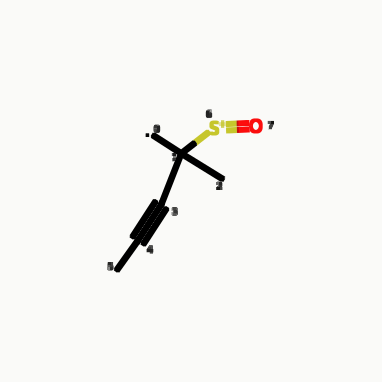 [CH2]C(C)(C#CC)[S+]=O